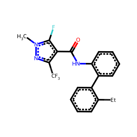 CCc1ccccc1-c1ccccc1NC(=O)c1c(C(F)(F)F)nn(C)c1F